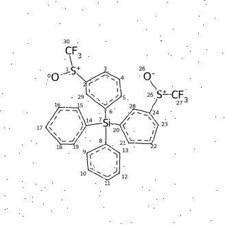 [O-][S+](c1cccc([Si](c2ccccc2)(c2ccccc2)c2cccc([S+]([O-])C(F)(F)F)c2)c1)C(F)(F)F